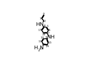 C=CCNc1ccc(Nc2ccc(N)cc2)cc1